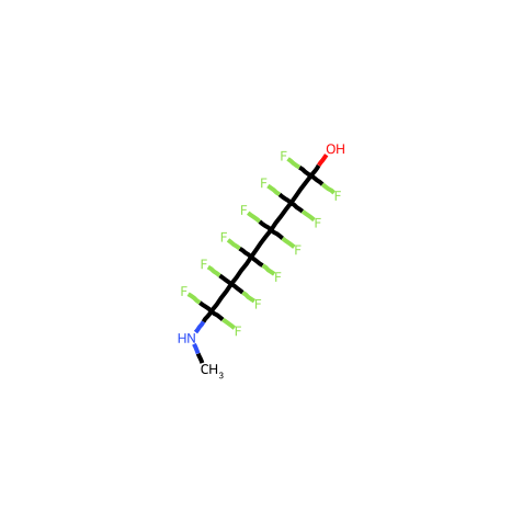 CNC(F)(F)C(F)(F)C(F)(F)C(F)(F)C(F)(F)C(O)(F)F